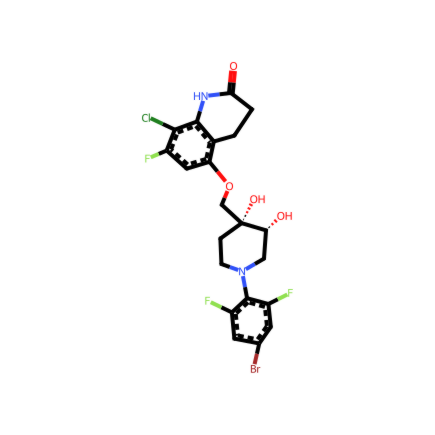 O=C1CCc2c(OC[C@]3(O)CCN(c4c(F)cc(Br)cc4F)C[C@H]3O)cc(F)c(Cl)c2N1